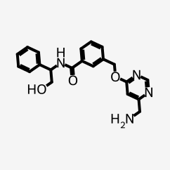 NCc1cc(OCc2cccc(C(=O)NC(CO)c3ccccc3)c2)ncn1